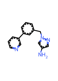 Nc1cnn(Cc2cccc(-c3cccnc3)c2)c1